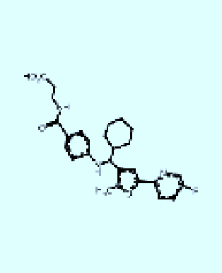 Cc1oc(-c2ccc(F)cn2)cc1C(Nc1ccc(C(=O)NCCC(=O)O)cc1)C1CCCCC1